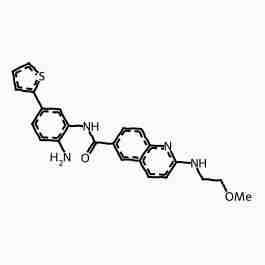 COCCNc1ccc2cc(C(=O)Nc3cc(-c4cccs4)ccc3N)ccc2n1